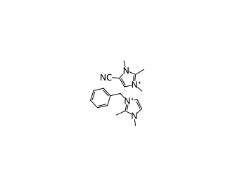 Cc1n(C)c(C#N)c[n+]1C.Cc1n(C)cc[n+]1Cc1ccccc1